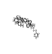 O=C(NCCCCc1ccccc1)Oc1ccc2nc(-c3c(Cl)cccc3Cl)[nH]c2c1